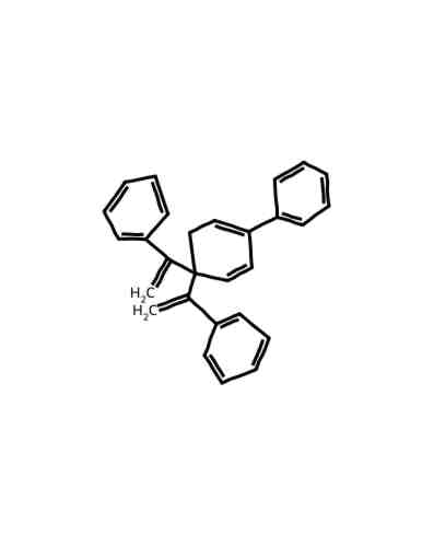 C=C(c1ccccc1)C1(C(=C)c2ccccc2)C=CC(c2ccccc2)=CC1